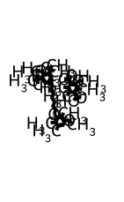 COc1c(C)c(C(=O)O)c(C)c(C)c1C(=O)O.COc1cc(C)c(C)c(OCCCCCCSc2cc(C(C)(C)C)c(OC)c(C(C)(C)C)c2)c1C